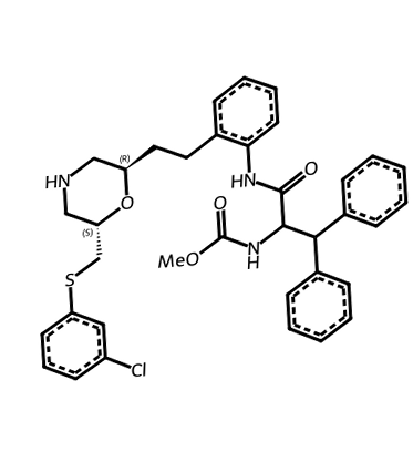 COC(=O)NC(C(=O)Nc1ccccc1CC[C@@H]1CNC[C@@H](CSc2cccc(Cl)c2)O1)C(c1ccccc1)c1ccccc1